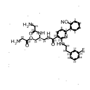 N#Cc1ccccc1-c1ccc(C(=O)NC[C@@H](COC(=O)CN)NC(=O)CN)c(NCCc2cccc(F)c2)n1